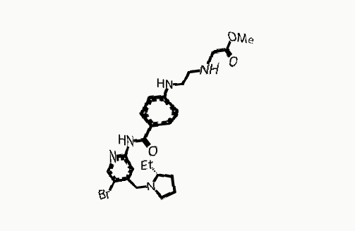 CC[C@@H]1CCCN1Cc1cc(NC(=O)c2ccc(NCCNCC(=O)OC)cc2)ncc1Br